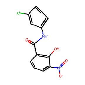 O=C(Nc1cccc(Cl)c1)c1cccc([N+](=O)[O-])c1O